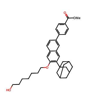 COC(=O)c1ccc(-c2ccc3cc(OCCCCCCCO)c(C45CC6CC(CC(C6)C4)C5)cc3c2)cc1